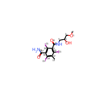 COCC(O)CNC(=O)c1c(I)c(C)c(I)c(C(N)=O)c1I